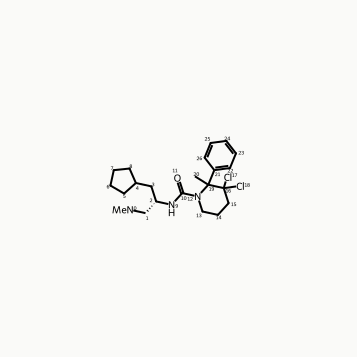 CNC[C@H](CC1CCCC1)NC(=O)N1CCCC(Cl)(Cl)C1(C)c1ccccc1